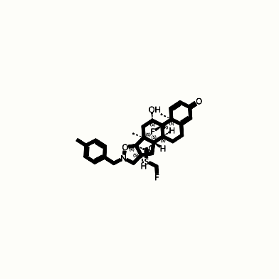 Cc1ccc(CN2C[C@@H]3C[C@H]4[C@@H]5CCC6=CC(=O)C=C[C@]6(C)[C@@]5(F)[C@@H](O)C[C@]4(C)[C@]3(C(=O)SCF)O2)cc1